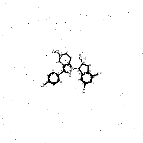 CC(=O)N1CCc2c(c(-c3ccc(Cl)cc3)nn2[C@@H]2c3cc(F)cc(F)c3C[C@@H]2O)C1